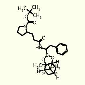 CC(C)(C)OC(=O)N1CCCC1CCC(=O)NC(Cc1ccccc1)B1O[C@@H]2C[C@@H]3C[C@@H](C3(C)C)[C@]2(C)O1